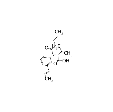 C/C=C/c1cccc(N(C(=O)CCCC)[C@H](C(=O)O)C(C)C)c1